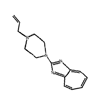 C=CCN1CCN(c2nc3cccccc-3n2)CC1